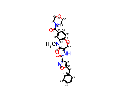 CN1C(=O)C(NC(=O)c2cc(Cc3ccccc3)on2)COc2ccc(C(=O)N3CCOCC3)cc21